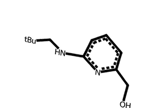 CC(C)(C)CNc1cccc(CO)n1